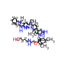 C/C(NCC12CC3(C)CC(C)(C1)CC(OCCNCCCCO)(C3)C2)=C(/C=N)c1ccc(N(C)c2cc(C)c(Nc3nc4ccccc4s3)nn2)nc1C(=O)O